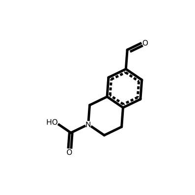 O=Cc1ccc2c(c1)CN(C(=O)O)CC2